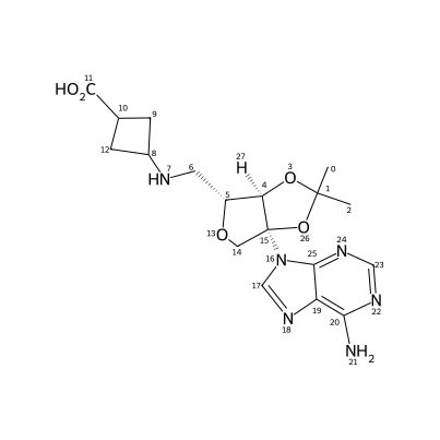 CC1(C)O[C@@H]2[C@@H](CNC3CC(C(=O)O)C3)OC[C@]2(n2cnc3c(N)ncnc32)O1